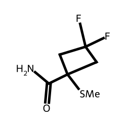 CSC1(C(N)=O)CC(F)(F)C1